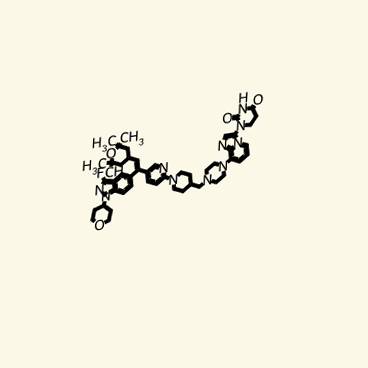 CC1(C)CC(C=C(c2ccc(N3CCC(CN4CCN(c5cccn6c(N7CCC(=O)NC7=O)cnc56)CC4)CC3)nc2)c2ccc3c(c2)c(F)nn3C2CCOCC2)CC(C)(C)O1